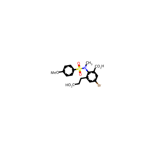 COc1ccc(S(=O)(=O)N(C)c2c(CCC(=O)O)cc(Br)cc2C(=O)O)cc1